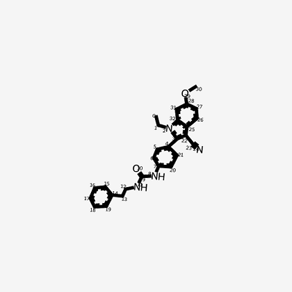 CCn1c(-c2ccc(NC(=O)NCCc3ccccc3)cc2)c(C#N)c2ccc(OC)cc21